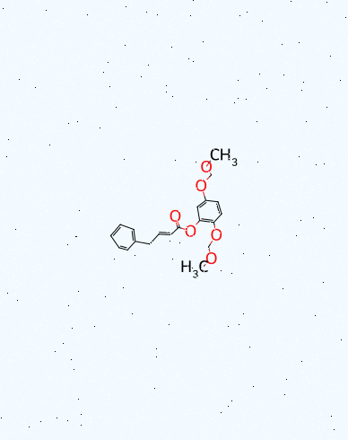 COCOc1ccc(OCOC)c(OC(=O)C=CCc2ccccc2)c1